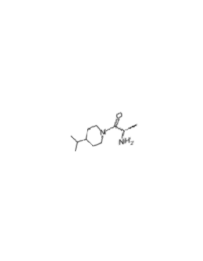 CC(C)C1CCN(C(=O)[C@@H](C)N)CC1